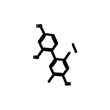 CC.Cc1cc(-c2ccc(O)cc2O)c(C)cc1O